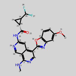 CNc1ncc(-c2nc3cc(OC)ccc3o2)c2cc(NC(=O)[C@@H]3CC3C(F)F)ncc12